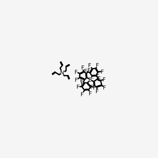 C=CC[N+](CC=C)(CC=C)CC=C.Fc1c(F)c(F)c([B-](c2c(F)c(F)c(F)c(F)c2F)(c2c(F)c(F)c(F)c(F)c2F)c2c(F)c(F)c(F)c(F)c2F)c(F)c1F